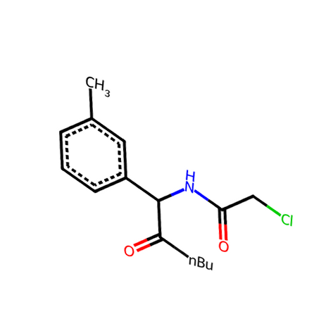 CCCCC(=O)C(NC(=O)CCl)c1cccc(C)c1